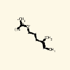 C/C=C(\C)CCCOC(C)Cl